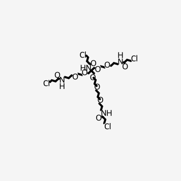 O=C(CCCl)NCCCOCCCOCCOCC(COCCOCCCNC(=O)CCCl)(COCCOCCCNC(=O)CCCl)NC(=O)CCCl